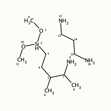 CO[SiH](CCC(C)C(C)N)OC.NCCCN